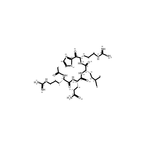 CC(=O)N[C@@H](CCCNC(=N)N)C(=O)N[C@@H](CCC(N)=O)C(=O)N[C@@H](CCC(C)C)C(=O)N[C@@H](CCCNC(=N)N)C(=O)c1nccs1